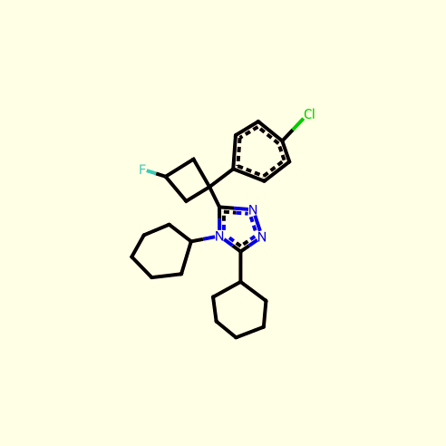 FC1CC(c2ccc(Cl)cc2)(c2nnc(C3CCCCC3)n2C2CCCCC2)C1